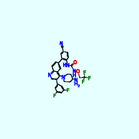 N#Cc1ccc(NC(=O)NOCC(F)(F)F)c(-c2ccc3ncc(-c4cc(F)cc(F)c4)c(N4CCC(N)CC4)c3c2)c1